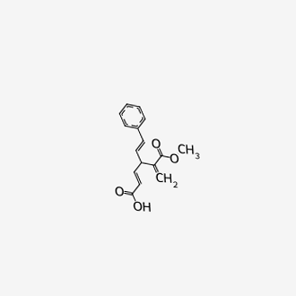 C=C(C(=O)OC)C(C=CC(=O)O)C=Cc1ccccc1